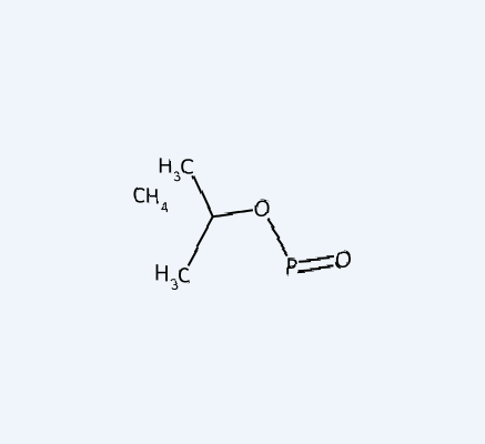 C.CC(C)OP=O